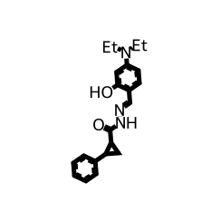 CCN(CC)c1ccc(C=NNC(=O)C2CC2c2ccccc2)c(O)c1